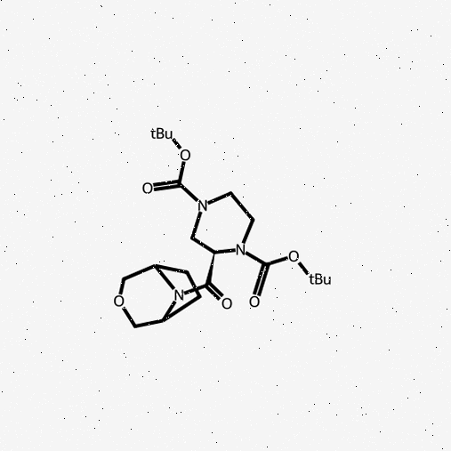 CC(C)(C)OC(=O)N1CCN(C(=O)OC(C)(C)C)[C@@H](C(=O)N2C3CCC2COC3)C1